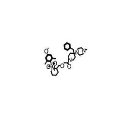 COc1cc(C)c(S(=O)(=O)N2CCCCC2COCC(=O)N2CCC(Cc3ccccc3)(N3CCN(C)CC3)CC2)c(C)c1